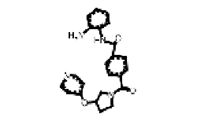 Nc1ccccc1NC(=O)c1ccc(C(=O)N2CCC(Oc3ccncc3)C2)cc1